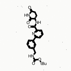 CC(C)(C)OC(=O)NCc1cccc(-c2cccc(C(=O)NC3CCC(=O)NC3=O)n2)c1